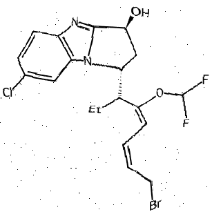 CCC(/C(=C\C=C/CBr)OC(F)F)[C@H]1C[C@H](O)c2nc3ccc(Cl)cc3n21